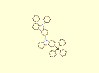 c1ccc(-c2ccccc2-n2c3ccccc3c3cc(-n4c5ccccc5c5cc([Si](c6ccccc6)(c6ccccc6)c6ccccc6)ccc54)ccc32)cc1